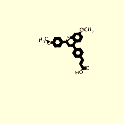 COc1ccc(C2CC(c3ccc(C=CC(=O)O)cc3)c3ccc(OC)cc3S2)cc1